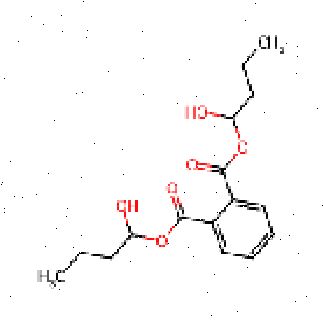 CCCC(O)OC(=O)c1ccccc1C(=O)OC(O)CCC